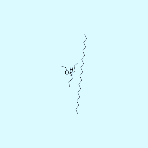 CCCCCCCCCCCCCCCCCCCC.CCC[SiH](CCC)OCC